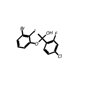 CC(O)(Oc1cccc(Br)c1I)c1ccc(Cl)cc1F